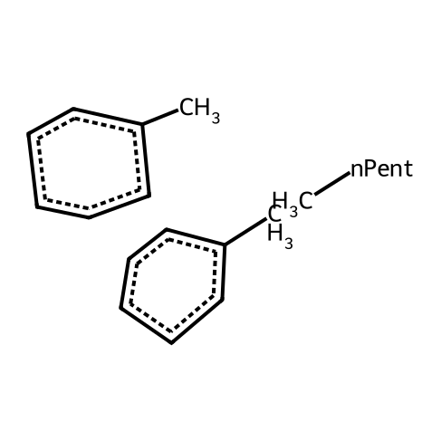 CCCCCC.Cc1ccccc1.Cc1ccccc1